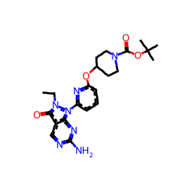 CCn1c(=O)c2cnc(N)nc2n1-c1cccc(OC2CCN(C(=O)OC(C)(C)C)CC2)n1